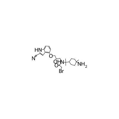 CC1(N)CCC(C(C)(C)N(CC(O)COc2cccc3[nH]c(C#N)cc23)C(=O)CBr)CC1